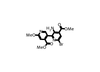 COC(=O)c1cc(OC)ncc1-c1nc(Br)cc(C(=O)OC)c1N